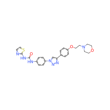 O=C(Nc1ccc(-n2cc(-c3ccc(OCCN4CCOCC4)cc3)nn2)cc1)Nc1nccs1